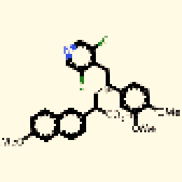 COc1ccc2cc(C(C[C@H](Cc3c(Cl)cncc3Cl)c3ccc(OC)c(OC)c3)C(=O)O)ccc2c1